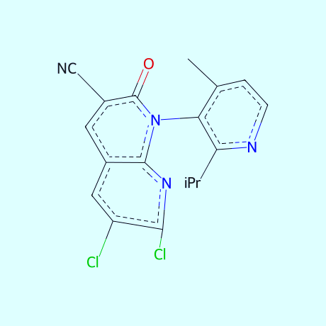 Cc1ccnc(C(C)C)c1-n1c(=O)c(C#N)cc2cc(Cl)c(Cl)nc21